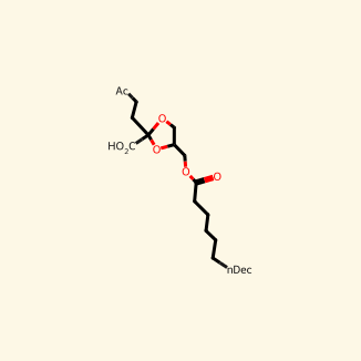 CCCCCCCCCCCCCCCC(=O)OCC1COC(CCC(C)=O)(C(=O)O)O1